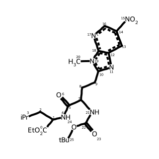 CCOC(=O)C(CC(C)C)NC(=O)C(CCc1nc2cc([N+](=O)[O-])cnc2n1C)NC(=O)OC(C)(C)C